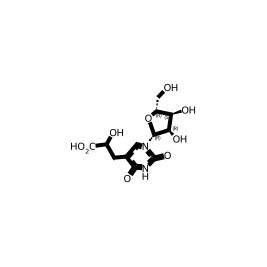 O=C(O)C(O)[CH]c1cn([C@@H]2O[C@H](CO)[C@@H](O)[C@H]2O)c(=O)[nH]c1=O